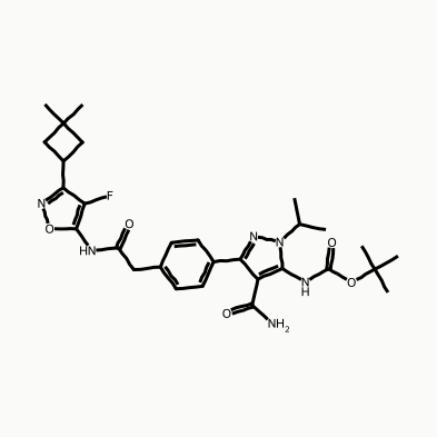 CC(C)n1nc(-c2ccc(CC(=O)Nc3onc(C4CC(C)(C)C4)c3F)cc2)c(C(N)=O)c1NC(=O)OC(C)(C)C